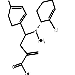 C=C(CC(C1=CC=C(Cl)CC1)N(N)[C@@H]1CC[C@H](Cl)C=C1Cl)C(=O)O